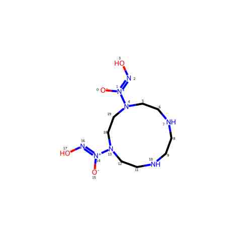 [O-][N+](=NO)N1CCNCCNCCN([N+]([O-])=NO)CC1